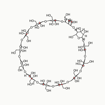 OCC1OC2OC3C(CO)OC(OC4C(CO)OC(O[C@H]5[C@H](O)[C@@H](O[C@@H]6C(CO)O[C@H](OC7C(CO)OC(OC8C(CO)OC(OC9C(CO)OC(OC%10C(CO)OC(OC%11C(CO)OC(O[C@@H]%12C(CO)O[C@H](OC%13C(CO)OC(OC%14C(CO)OC(OC1C(O)C2O)C(O)C%14O)C(O)C%13O)C(O)C%12O)C(O)C%11O)C(O)C%10O)C(O)C9O)C(O)C8O)C(O)C7O)[C@H](O)[C@H]6O)[C@@H](O)O[C@@H]5CO)C(O)C4O)C(O)C3O